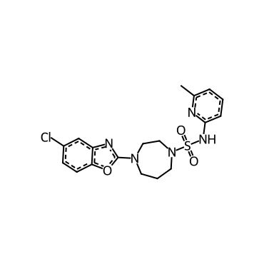 Cc1cccc(NS(=O)(=O)N2CCCN(c3nc4cc(Cl)ccc4o3)CC2)n1